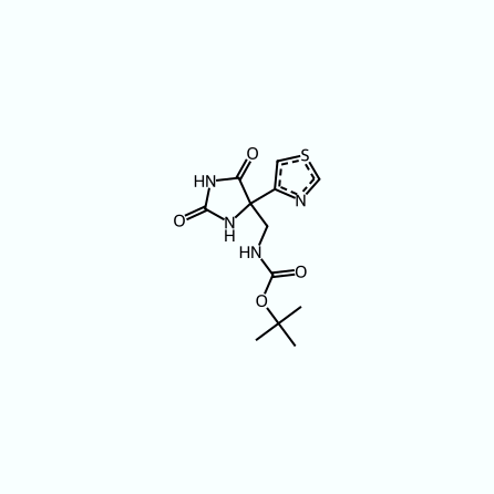 CC(C)(C)OC(=O)NCC1(c2cscn2)NC(=O)NC1=O